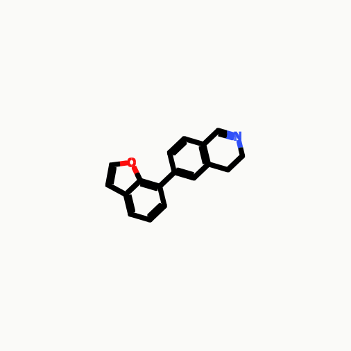 C1=NCCc2cc(-c3cccc4ccoc34)ccc21